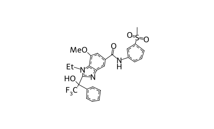 CCn1c(C(O)(c2ccccc2)C(F)(F)F)nc2cc(C(=O)Nc3cccc(S(C)(=O)=O)c3)cc(OC)c21